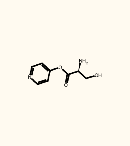 N[C@@H](CO)C(=O)Oc1ccncc1